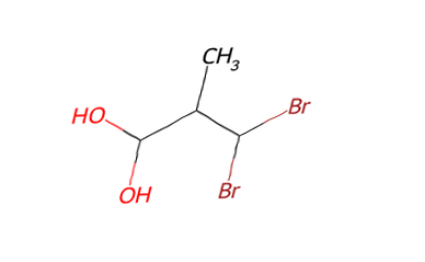 CC(C(O)O)C(Br)Br